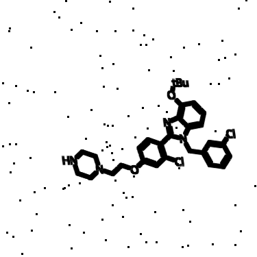 CC(C)(C)Oc1cccc2c1nc(-c1ccc(OCCN3CCNCC3)cc1Cl)n2Cc1cccc(Cl)c1